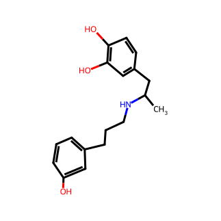 CC(Cc1ccc(O)c(O)c1)NCCCc1cccc(O)c1